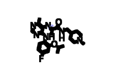 C/C(=N\c1c(C)ncnc1Nc1ccc(F)cc1OC(C)C)C(=O)NCC1CCN(C)CC1